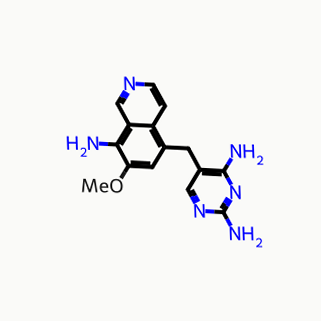 COc1cc(Cc2cnc(N)nc2N)c2ccncc2c1N